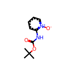 CC(C)(C)OC(=O)Nc1cccc[n+]1[O-]